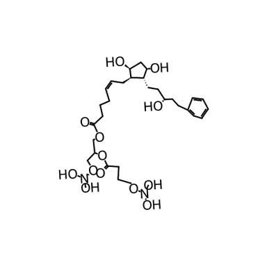 O=C(CCC/C=C\C[C@@H]1[C@@H](CC[C@@H](O)CCc2ccccc2)[C@H](O)C[C@@H]1O)OCC(CON(O)O)OC(=O)CCCON(O)O